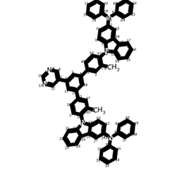 Cc1cc(-c2cc(-c3cncnc3)cc(-c3ccc(-n4c5ccccc5c5cc(N(c6ccccc6)c6ccccc6)ccc54)c(C)c3)c2)ccc1-n1c2ccccc2c2cc(N(c3ccccc3)c3ccccc3)ccc21